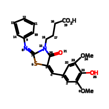 COc1cc(C=C2SC(=Nc3ccccc3)N(CCCC(=O)O)C2=O)cc(OC)c1O